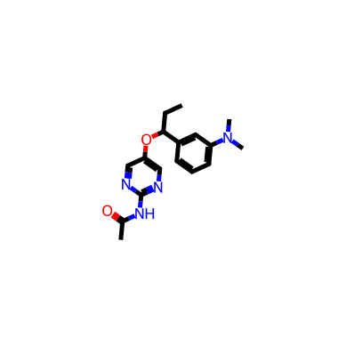 CCC(Oc1cnc(NC(C)=O)nc1)c1cccc(N(C)C)c1